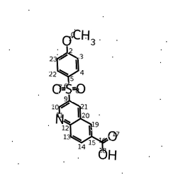 COc1ccc(S(=O)(=O)c2cnc3ccc(C(=O)O)cc3c2)cc1